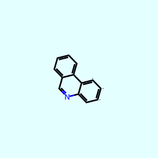 [c]1[c]cc2ncc3ccccc3c2[c]1